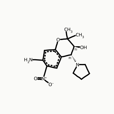 CC1(C)Oc2cc(N)c([N+](=O)[O-])cc2[C@@H](N2CCCC2)[C@@H]1O